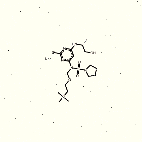 C[C@H](CO)Nc1cc(N(COCC[Si](C)(C)C)S(=O)(=O)N2CCCC2)nc([S-])n1.[Na+]